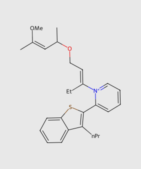 CCCc1c(-c2cccc[n+]2/C(=C/COC(C)/C=C(/C)OC)CC)sc2ccccc12